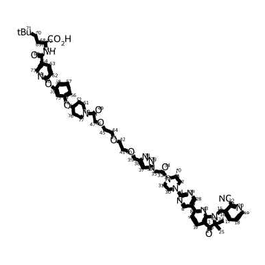 C[C@@H]1CN(c2ncc(-c3ccc4c(n3)N(Cc3cccnc3C#N)C(C)(C)C4=O)cn2)CCN1C(=O)Cn1cc(COCCOCCOCC(=O)N2CCC(Oc3cccc(Oc4ccc(C(=O)N[C@@H](CCC(C)(C)C)C(=O)O)cn4)c3)CC2)nn1